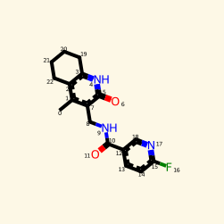 Cc1c2c([nH]c(=O)c1CNC(=O)c1ccc(F)nc1)CCCC2